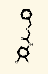 O=C(COCc1ccccc1)Nc1ccc(Cl)c(F)c1